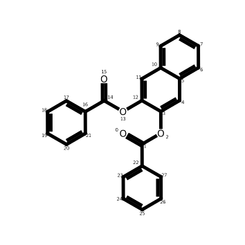 O=C(Oc1cc2ccccc2cc1OC(=O)c1ccccc1)c1ccccc1